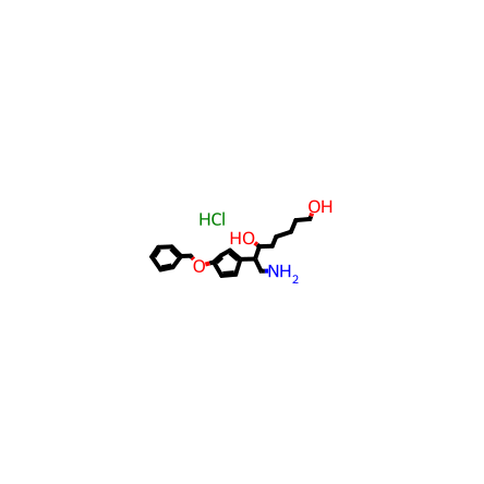 Cl.NCC(c1ccc(OCc2ccccc2)cc1)C(O)CCCCCO